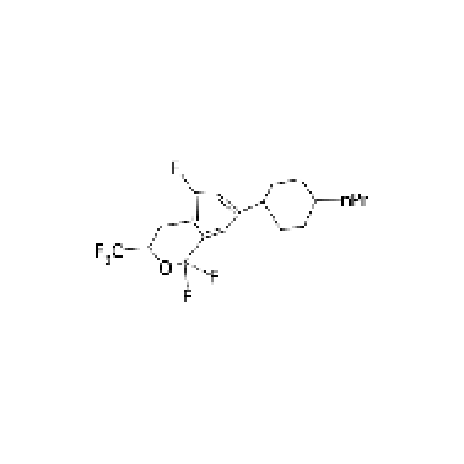 CCCC1CCC(c2cc(F)c3c(c2)C(F)(F)OC(C(F)(F)F)C3)CC1